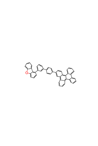 c1cc(-c2ccc(-c3ccc4c(c3)c3ccccc3c3c5ccccc5c5ccccc5c43)cc2)cc(-c2cccc3oc4ccccc4c23)c1